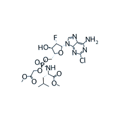 COC(=O)CO[P@@](=O)(N[C@@H](CC(C)C)C(=O)OC)OC[C@H]1O[C@@H](n2cnc3c(N)nc(Cl)nc32)[C@@H](F)[C@@H]1O